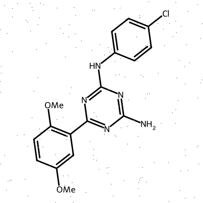 COc1ccc(OC)c(-c2nc(N)nc(Nc3ccc(Cl)cc3)n2)c1